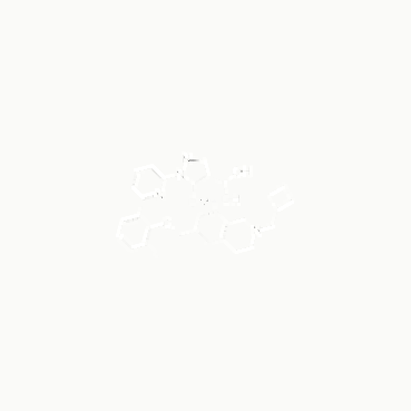 COc1c(C(O)O)cnn1-c1cccc(-c2cccc(C)c2OCc2ccc3c(c2)CCN(CC2CCC2)C3)n1